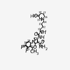 CC(Oc1nsc(NC(=O)NCCCCN2CCCC(O)C2)c1C(N)=O)c1cccc(F)c1F